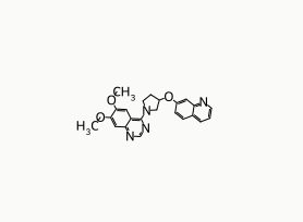 COc1cc2ncnc(N3CCC(Oc4ccc5cccnc5c4)C3)c2cc1OC